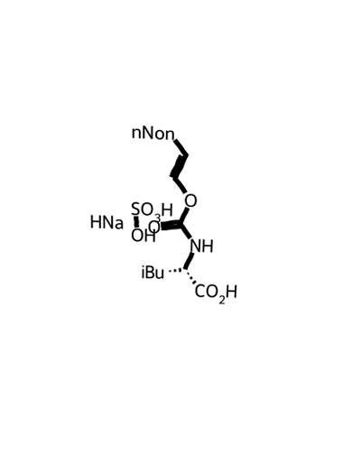 CCCCCCCCCC=COC(=O)N[C@H](C(=O)O)[C@@H](C)CC.O=S(=O)(O)O.[NaH]